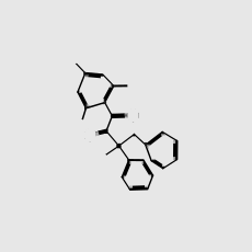 Cc1cc(C)c(C(=O)C(=O)C(C)(Cc2ccccc2)c2ccccc2)c(C)c1